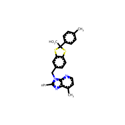 CCCc1nc2c(C)ccnc2n1Cc1ccc2c(c1)SC(C(=O)O)(c1ccc(C)cc1)S2